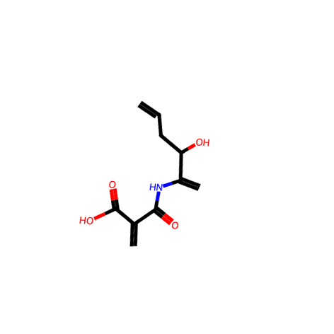 C=CC[C](O)C(=C)NC(=O)C(=C)C(=O)O